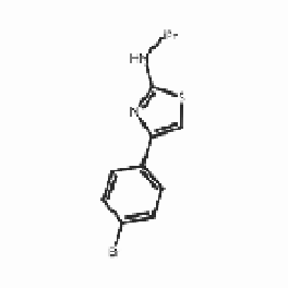 CC(C)Nc1nc(-c2ccc(Br)cc2)cs1